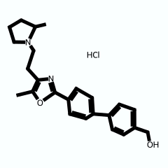 Cc1oc(-c2ccc(-c3ccc(CO)cc3)cc2)nc1CCN1CCCC1C.Cl